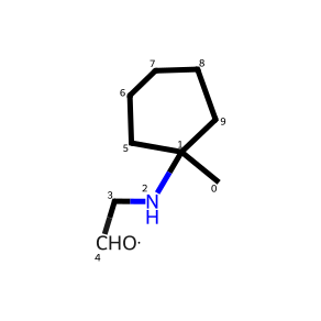 CC1(NC[C]=O)CCCCC1